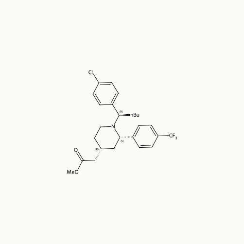 CCCC[C@H](c1ccc(Cl)cc1)N1CC[C@@H](CC(=O)OC)C[C@H]1c1ccc(C(F)(F)F)cc1